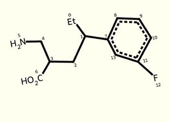 CCC(CC(CN)C(=O)O)c1cccc(F)c1